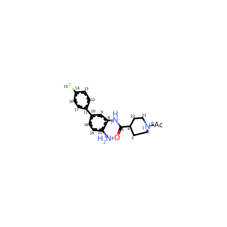 CC(=O)N1CCC(C(=O)Nc2cc(-c3ccc(F)cc3)ccc2N)CC1